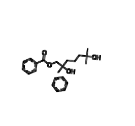 CC(C)(O)CCCC(C)(O)COC(=O)c1ccccc1.c1ccccc1